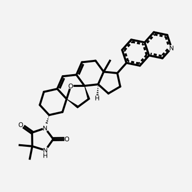 CC1(C)NC(=O)N([C@@H]2CCC3=CC4=CCC5(C)C(c6ccc7ccncc7c6)CC[C@H]5[C@@]45CC[C@]3(C2)O5)C1=O